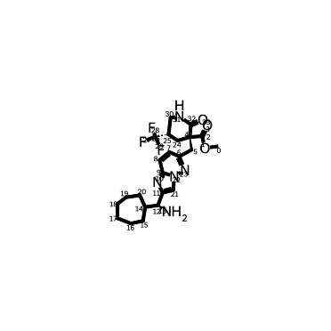 COC(=O)[C@]1(Cc2ccc3nc([C@@H](N)C4CCCCCC4)cn3n2)C[C@H](C(F)(F)F)CNC1=O